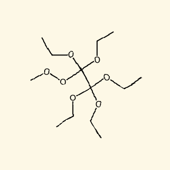 CCOC(OCC)(OCC)C(OCC)(OCC)OOC